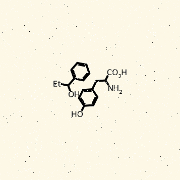 CCC(O)c1ccccc1.NC(Cc1ccc(O)cc1)C(=O)O